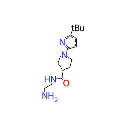 CC(C)(C)c1ccc(N2CCC(C(=O)NCCN)CC2)nc1